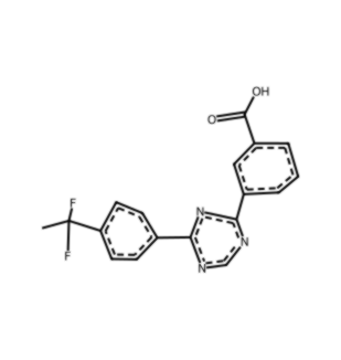 CC(F)(F)c1ccc(-c2ncnc(-c3cccc(C(=O)O)c3)n2)cc1